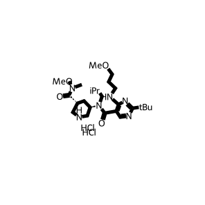 COCCCNc1nc(C(C)(C)C)ncc1C(=O)N(CC(C)C)[C@@H]1CNC[C@H](C(=O)N(C)OC)C1.Cl.Cl